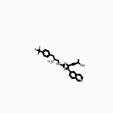 CC(O)C#Cc1nc(NC[C@H](N)Cc2ccc(C(F)(F)F)cc2)sc1-c1ccc2cnccc2c1